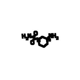 N[C@H]1CCCN(S(N)(=O)=O)C1